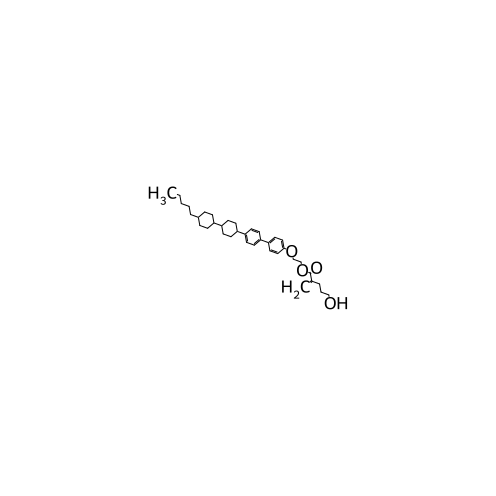 C=C(CCCO)C(=O)OCCOc1ccc(-c2ccc(C3CCC(C4CCC(CCCCC)CC4)CC3)cc2)cc1